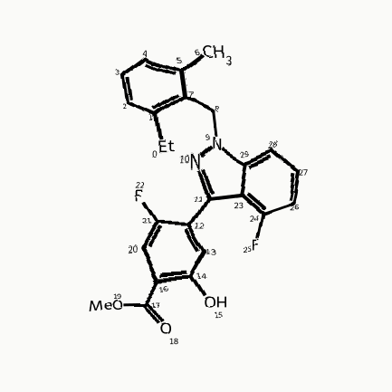 CCc1cccc(C)c1Cn1nc(-c2cc(O)c(C(=O)OC)cc2F)c2c(F)cccc21